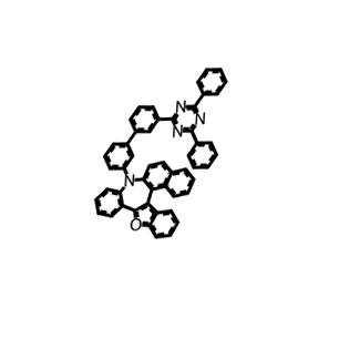 c1ccc(-c2nc(-c3ccccc3)nc(-c3cccc(-c4cccc(N5c6ccccc6-c6oc7ccccc7c6-c6c5ccc5ccccc65)c4)c3)n2)cc1